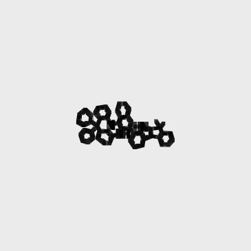 CC1(C)c2ccccc2-c2c1[nH]c1c(-c3cc4ccccc4c4c3Bc3cccc5c3N4c3ccccc3C5(c3ccccc3)c3ccccc3)cccc21